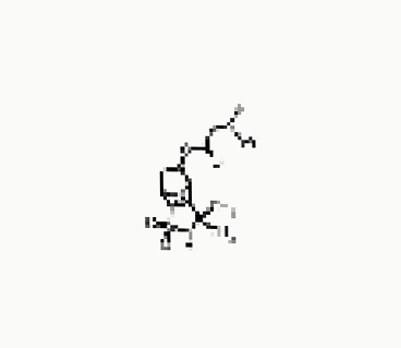 CC(C)N(CC(=O)OC1CC2OC1C1C2S(=O)(=O)NC1(C)C)C(C)C